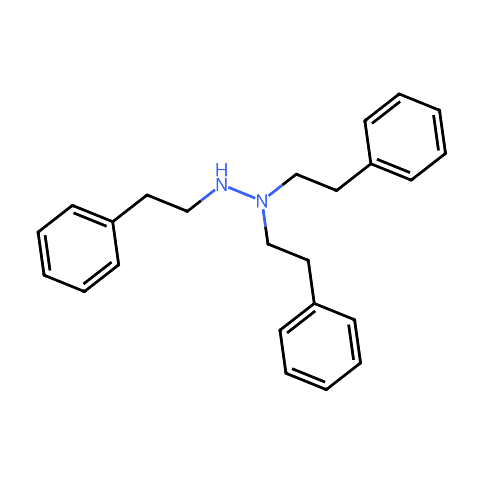 c1ccc(CCNN(CCc2ccccc2)CCc2ccccc2)cc1